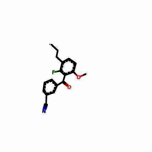 [CH2]CCc1ccc(OC)c(C(=O)c2cccc(C#N)c2)c1F